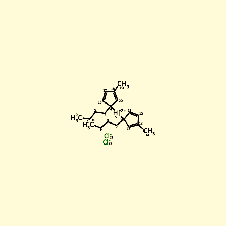 CCCC[C]1([Hf+2][C]2(CCCC)C=CC(C)=C2)C=CC(C)=C1.[Cl-].[Cl-]